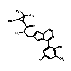 Cc1cc(Cl)cc(-c2ncnn3cc(CN(C)C(=O)C4C(C=O)C4(C)C)cc23)c1O